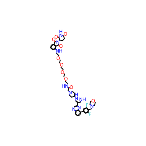 N=C/C(=C\NC1CCN(CC(=O)NCCOCCOCCOCCOCCNc2cccc3c2C(=O)N(C2CCC(=O)NC2=O)C3=O)CC1)c1cnc2cccc(-c3cc(F)c(CN4CCOCC4)c(F)c3)c2n1